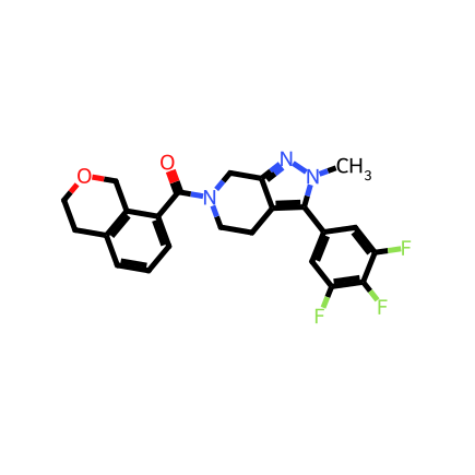 Cn1nc2c(c1-c1cc(F)c(F)c(F)c1)CCN(C(=O)c1cccc3c1COCC3)C2